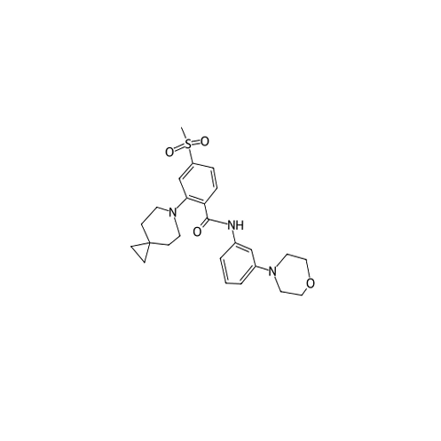 CS(=O)(=O)c1ccc(C(=O)Nc2cccc(N3CCOCC3)c2)c(N2CCC3(CC2)CC3)c1